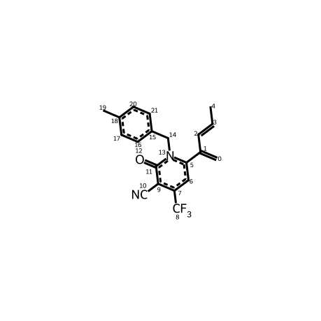 C=C(C=CC)c1cc(C(F)(F)F)c(C#N)c(=O)n1Cc1ccc(C)cc1